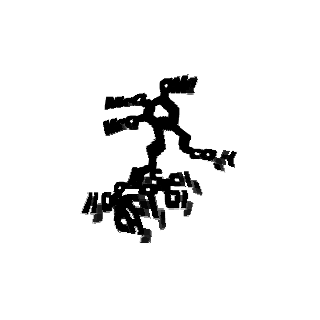 COc1cc(/C=C/C(=O)O)c(CCCC[SiH](O[Si](C)(C)C)O[Si](C)(C)C)c(OC)c1OC